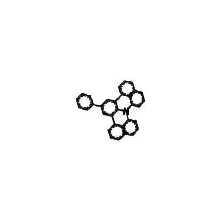 c1ccc(-c2cc(-c3ccccc3)c(N(c3ccccc3)c3ccccc3)c(-c3ccccc3)c2)cc1